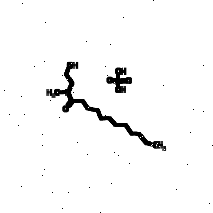 CCCCCCCCCCCC(=O)N(C)CCO.O=S(=O)(O)O